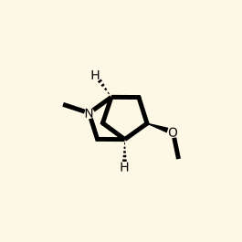 CO[C@@H]1C[C@H]2C[C@@H]1CN2C